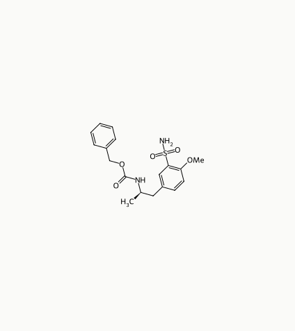 COc1ccc(C[C@@H](C)NC(=O)OCc2ccccc2)cc1S(N)(=O)=O